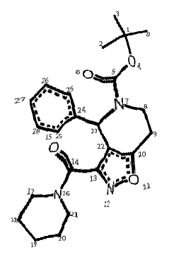 CC(C)(C)OC(=O)N1CCc2onc(C(=O)N3CCCCC3)c2C1c1ccccc1